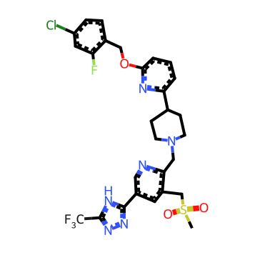 CS(=O)(=O)Cc1cc(-c2nnc(C(F)(F)F)[nH]2)cnc1CN1CCC(c2cccc(OCc3ccc(Cl)cc3F)n2)CC1